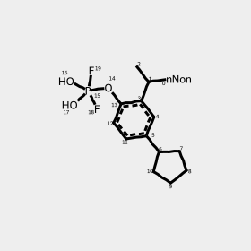 CCCCCCCCCC(C)c1cc(C2CCCC2)ccc1OP(O)(O)(F)F